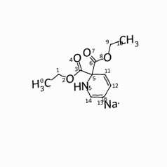 CCOC(=O)C1(C(=O)OCC)C=CC=CN1.[Na]